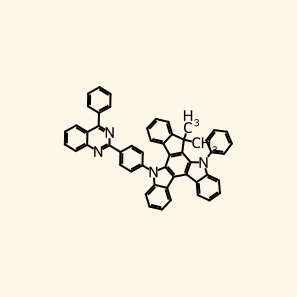 CC1(C)c2ccccc2-c2c1c1c(c3ccccc3n1-c1ccccc1)c1c3ccccc3n(-c3ccc(-c4nc(-c5ccccc5)c5ccccc5n4)cc3)c21